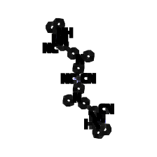 N#C/C(=C(/C#N)c1ccc(N(c2ccccc2)c2ccc(-c3cnc(/N=C4\Nc5cccc6cccc4c56)c(C#N)c3)cc2)cc1)c1ccc(N(c2ccccc2)c2ccc(-c3cnc(/N=C4\Nc5cccc6cccc4c56)c(C#N)c3)cc2)cc1